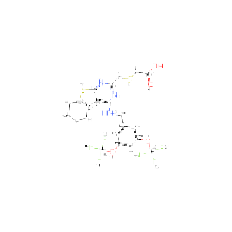 O=C(O)CSCc1nc(NCc2cc(OC(F)(F)F)cc(OC(F)(F)F)c2)c2c3c(sc2n1)CCCC3